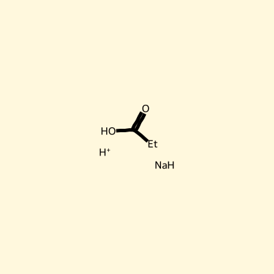 CCC(=O)O.[H+].[NaH]